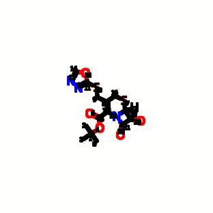 CC(C)(C)OC(=O)C1=C(CSc2nnco2)CS[C@H]2C(=O)C(=O)N12